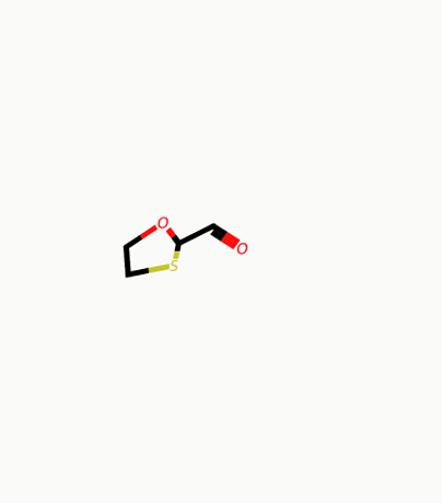 O=CC1OCCS1